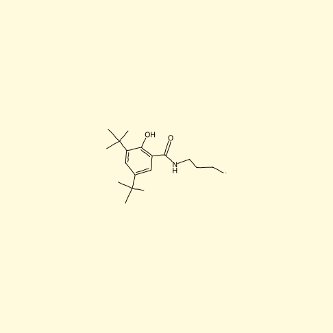 [CH2]CCCNC(=O)c1cc(C(C)(C)C)cc(C(C)(C)C)c1O